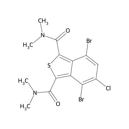 CN(C)C(=O)c1sc(C(=O)N(C)C)c2c(Br)c(Cl)cc(Br)c12